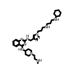 CNCCN1CCC(Nc2nc(NCc3cn(CCCNCCCNC4CCCCC4)nn3)nc3ccccc23)CC1